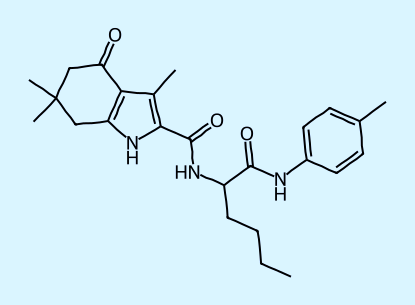 CCCCC(NC(=O)c1[nH]c2c(c1C)C(=O)CC(C)(C)C2)C(=O)Nc1ccc(C)cc1